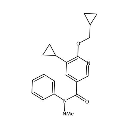 CNN(C(=O)c1cnc(OCC2CC2)c(C2CC2)c1)c1ccccc1